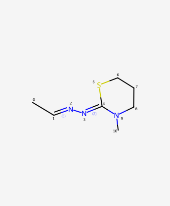 C/C=N/N=C1\SCCCN1C